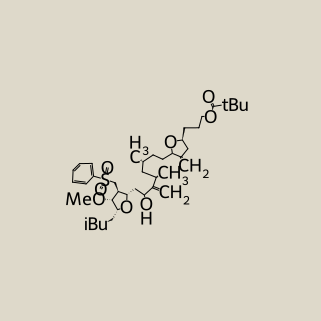 C=C1C[C@H](CCCOC(=O)C(C)(C)C)OC1CC[C@@H](C)C[C@@H](C)C(=C)C(O)C[C@@H]1O[C@H](C[C@H](C)CC)[C@H](OC)[C@H]1CS(=O)(=O)c1ccccc1